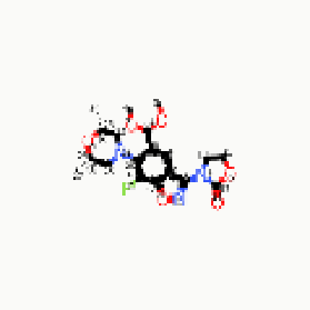 COC(OC)c1cc2c(N3CCOC3=O)noc2c(F)c1N1C[C@@H](C)O[C@@H](C)C1